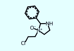 [O-][N+]1(CCCl)CCNC1c1ccccc1